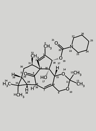 CC1=C[C@]23C(=O)[C@@H](C=C4COC(C)(C)O[C@H]4[C@]2(O)[C@H]1OC(=O)N1CCCCC1)[C@H]1[C@@H](C[C@H]3C)C1(C)C